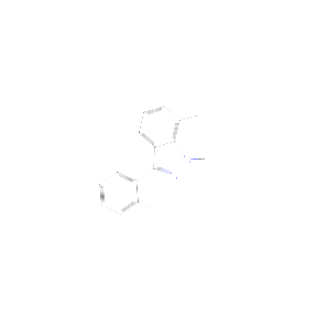 Cc1ccccc1-c1nn(C)c2c(C=O)cccc12